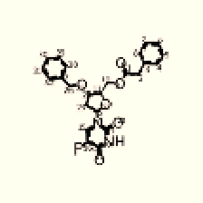 O=C(Cc1ccccc1)OC[C@H]1O[C@@H](n2cc(F)c(=O)[nH]c2=O)C[C@@H]1OCc1ccccc1